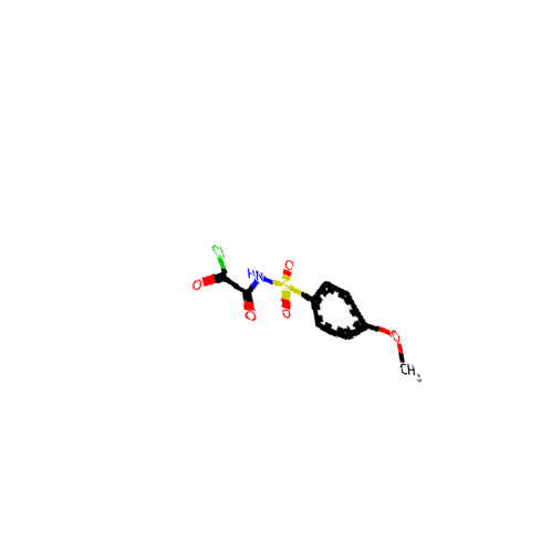 COc1ccc(S(=O)(=O)NC(=O)C(=O)Cl)cc1